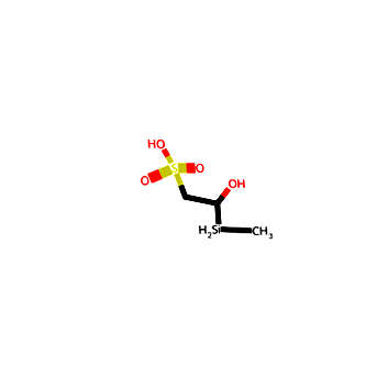 C[SiH2]C(O)CS(=O)(=O)O